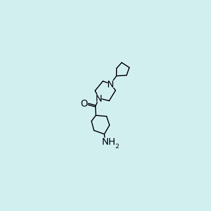 NC1CCC(C(=O)N2CCN(C3CCCC3)CC2)CC1